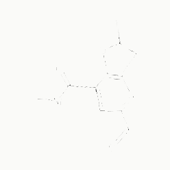 CNC(=O)c1cc(C=O)cc2c1OC(C)C2